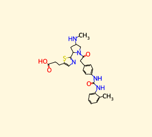 CNC1CC(c2ncc(CCC(=O)O)s2)N(C(=O)Cc2ccc(NC(=O)Nc3ccccc3C)cc2)C1